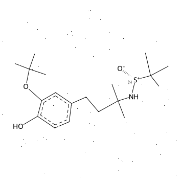 CC(C)(CCc1ccc(O)c(OC(C)(C)C)c1)N[S@+]([O-])C(C)(C)C